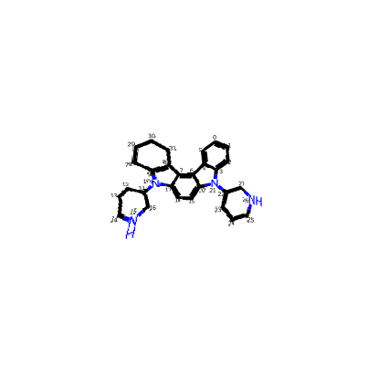 c1ccc2c(c1)c1c3c4c(n(C5CCCNC5)c3ccc1n2C1CCCNC1)CCCC4